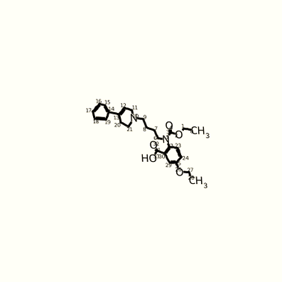 CCOC(=O)N(CCCCN1CC=C(c2ccccc2)CC1)c1ccc(OCC)cc1C(=O)O